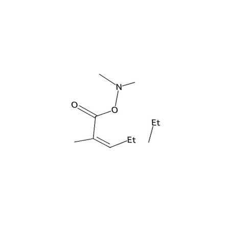 CCC.CCC=C(C)C(=O)ON(C)C